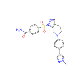 Cn1cc(-c2ccc(N3CCc4cnn(S(=O)(=O)c5ccc(C(N)=O)cc5)c4C3)cc2)cn1